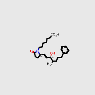 CC(CCCc1ccccc1)[C@H](O)C=C[C@H]1CCC(=O)N1CCCCCCC(=O)O